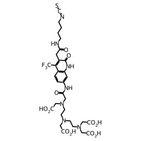 O=C(O)CN(CCN(CC(=O)O)CC(=O)O)CCN(CC(=O)O)CC(=O)Nc1ccc2c(C(F)(F)F)c(CC(=O)NCCCCN=C=S)c(=O)[nH]c2c1